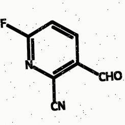 N#Cc1nc(F)ccc1C=O